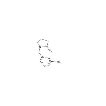 CC(C)(C)c1cccc(CN2CCCC2=O)c1